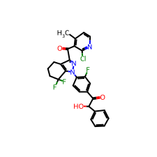 Cc1ccnc(Cl)c1C(=O)c1nn(-c2ccc(C(=O)C(O)c3ccccc3)cc2F)c2c1CCCC2(F)F